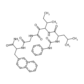 CCC(C)C(NC(=O)C(CC(C)C)NC(=O)Nc1ccccc1)C(=O)C(=O)NCC(=O)NC(Cc1ccc2ccccc2c1)C(N)=O